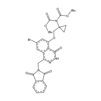 CC(C)(C)OC(=O)N(C(=O)OC(C)(C)C)C1(COc2cc(Br)cc3c(CN4C(=O)c5ccccc5C4=O)n[nH]c(=O)c23)CC1